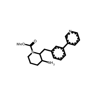 COC(=O)N1CCCC(N)C1Cc1cccc(-c2cccnc2)c1